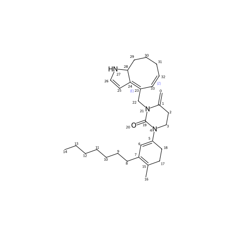 C=C1CCN(C2=CC(CCCCCCC)=C(C)CC2)C(=O)N1CC1=C2\C=CNC2CCC/C=C\1